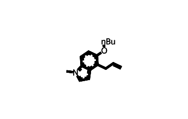 C=CCc1c(OCCCC)ccc2c1ccn2C